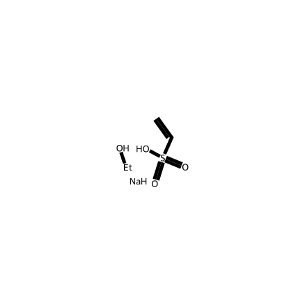 C=CS(=O)(=O)O.CCO.[NaH]